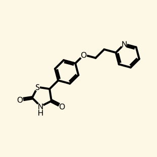 O=C1NC(=O)C(c2ccc(OCCc3ccccn3)cc2)S1